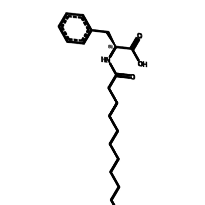 CCCCCCCCCCC(=O)N[C@@H](Cc1ccccc1)C(=O)O